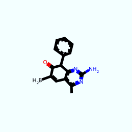 BC1=Cc2c(C)nc(N)nc2C(c2ccccc2)C1=O